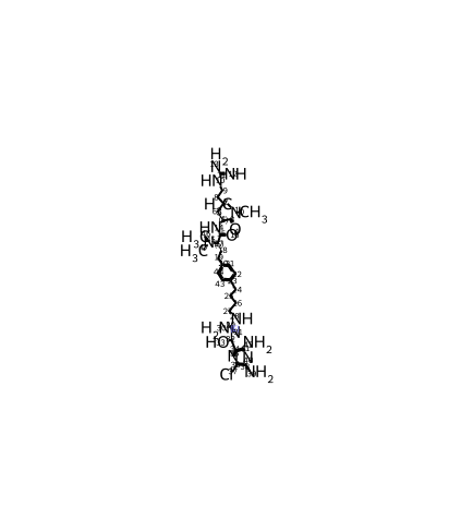 CN(C)C(=O)[C@H](CCCCNC(=N)N)NC(=O)[C@H](CCc1ccc(CCCCN/C(N)=N/C(O)c2nc(Cl)c(N)nc2N)cc1)N(C)C